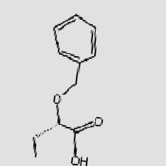 CC[C@H](OCc1ccccc1)C(=O)O